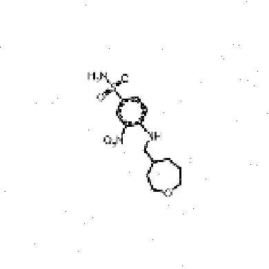 NS(=O)(=O)c1ccc(NCC2CCCOCC2)c([N+](=O)[O-])c1